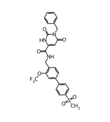 CS(=O)(=O)c1ccc(-c2ccc(CNC(=O)c3cc(=O)n(Cc4ccccc4)c(=O)[nH]3)c(OC(F)(F)F)c2)cc1